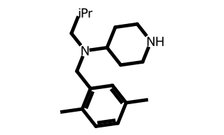 Cc1ccc(C)c(CN(CC(C)C)C2CCNCC2)c1